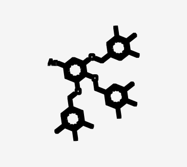 CC(=O)c1cc(OCc2cc(C)c(C)c(C)c2)c(OCc2cc(C)c(C)c(C)c2)c(OCc2cc(C)c(C)c(C)c2)c1